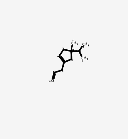 CC(C)[C@@]1(C)CC=C(CC=O)C1